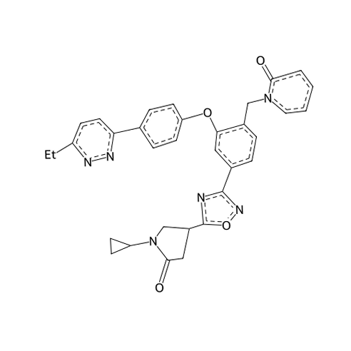 CCc1ccc(-c2ccc(Oc3cc(-c4noc(C5CC(=O)N(C6CC6)C5)n4)ccc3Cn3ccccc3=O)cc2)nn1